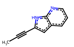 CC#Cc1cc2cccnc2[nH]1